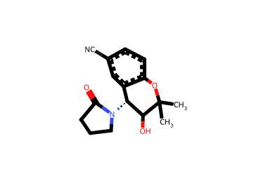 CC1(C)Oc2ccc(C#N)cc2[C@@H](N2CCCC2=O)C1O